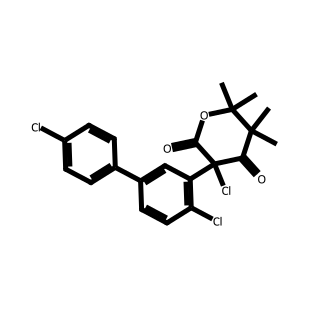 CC1(C)OC(=O)C(Cl)(c2cc(-c3ccc(Cl)cc3)ccc2Cl)C(=O)C1(C)C